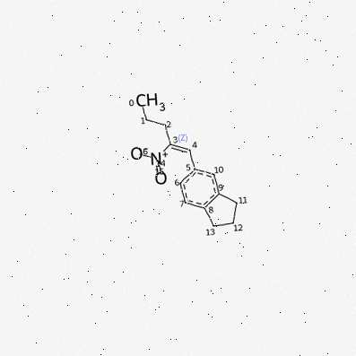 CCC/C(=C/c1ccc2c(c1)CCC2)[N+](=O)[O-]